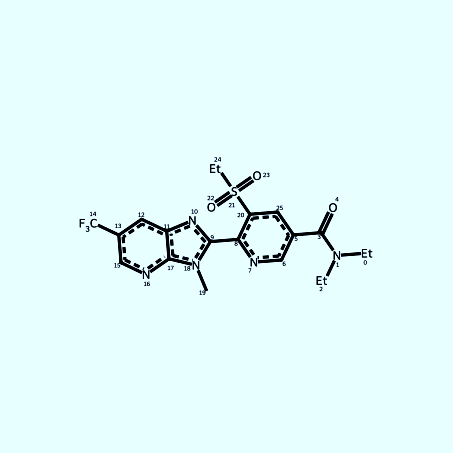 CCN(CC)C(=O)c1cnc(-c2nc3cc(C(F)(F)F)cnc3n2C)c(S(=O)(=O)CC)c1